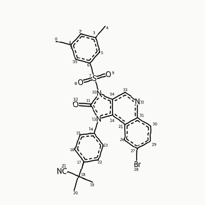 Cc1cc(C)cc(S(=O)(=O)n2c(=O)n(-c3ccc(C(C)(C)C#N)cc3)c3c4cc(Br)ccc4ncc32)c1